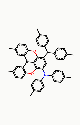 Cc1ccc(C(c2ccc(C)cc2)c2cc(N(c3ccc(C)cc3)c3ccc(C)cc3)c3c4c2Oc2ccc(C)cc2B4c2cc(C)ccc2O3)cc1